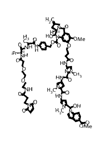 C=C1C[C@H]2C(O)N(C(=O)OCc3ccc(NC(=O)[C@H](C)NC(=O)[C@@H](NC(=O)CCOCCOCCNC(=O)CCN4C(=O)C=CC4=O)C(C)C)cc3)c3cc(OCCCC(=O)Nc4cn(C)c(C(=O)Nc5cc(C(=O)Nc6cc(C(O)n7ccc8cc(C(=O)OC)ccc87)n(C)c6)n(C)c5)n4)c(OC)cc3C(=O)N2C1